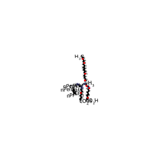 CCCCC/C=C\C/C=C\CCCCCCCC(=O)O.CCCCC/C=C\C/C=C\CCCCCCCC(=O)O.CCCCCCCCCCCCCCCCCCCC.CCCCCNCN(C)CCC